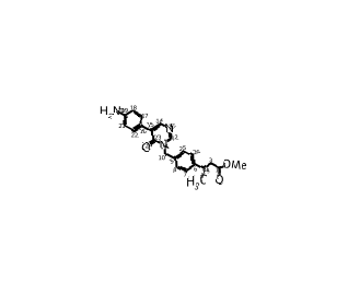 COC(=O)C[C@@H](C)c1ccc(Cn2cncc(-c3ccc(N)cc3)c2=O)cc1